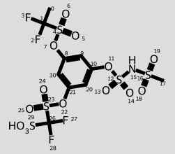 CC(F)(F)S(=O)(=O)Oc1cc(OS(=O)(=O)NS(C)(=O)=O)cc(OS(=O)(=O)C(F)(F)S(=O)(=O)O)c1